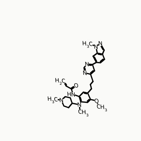 C=CC(=O)Nc1cc(CCCc2cc(-c3ccc4cnn(C)c4c3)ncn2)c(OC)cc1N(C)C1CCN(C)CC1